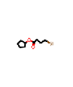 O=C(CCCS)OC1CCCC1